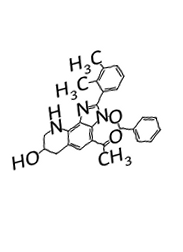 CC(=O)c1cc2c(c3nc(-c4cccc(C)c4C)n(OCc4ccccc4)c13)NCC(O)C2